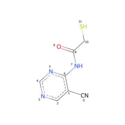 N#Cc1cncnc1NC(=O)CS